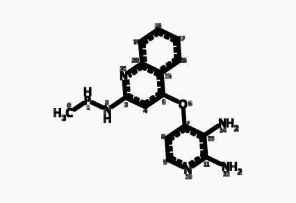 CPNc1cc(Oc2ccnc(N)c2N)c2ccccc2n1